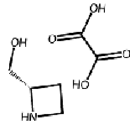 O=C(O)C(=O)O.OC[C@@H]1CCN1